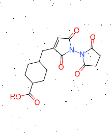 O=C(O)C1CCC(CC2=CC(=O)N(N3C(=O)CCC3=O)C2=O)CC1